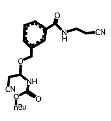 CCCCOC(=O)NC(CC#N)OCc1cccc(C(=O)NCCC#N)c1